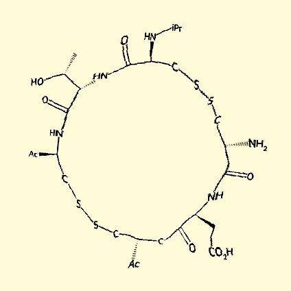 CC(=O)[C@@H]1CSSC[C@@H](C(C)=O)NC(=O)[C@H]([C@@H](C)O)NC(=O)[C@@H](NC(C)C)CSSC[C@H](N)C(=O)N[C@@H](CC(=O)O)C(=O)C1